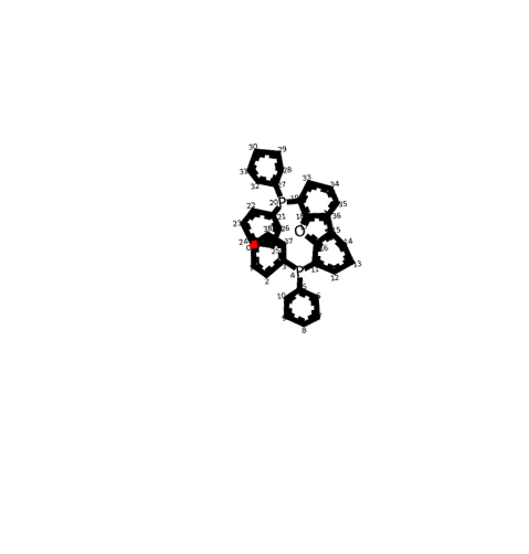 c1ccc(P(c2ccccc2)c2cccc3c2oc2c(P(c4ccccc4)c4ccccc4)cccc23)cc1